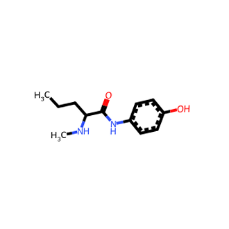 CCCC(NC)C(=O)Nc1ccc(O)cc1